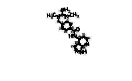 CN=C(N)N(C)Cc1ccc(C(=O)Nc2ccnc3[nH]ncc23)cc1